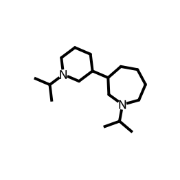 CC(C)N1CCCCC(C2CCCN(C(C)C)C2)C1